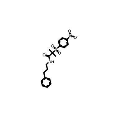 CC(C)(C(=O)NCCCc1ccccc1)S(=O)(=O)c1ccc([N+](=O)[O-])cc1